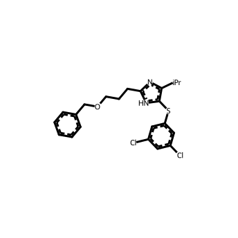 CC(C)c1nc(CCCOCc2ccccc2)[nH]c1Sc1cc(Cl)cc(Cl)c1